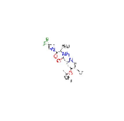 C[C@H](Oc1cc(C(=O)NC(C(=O)N2CC(F)(F)C2)C(C)(C)C)ncc1C1CC1)C(F)(F)F